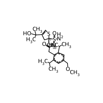 COCc1cc(C(C)C)c(CC(=O)N=S(N)(=O)[C@]2(C)CC(C(C)(C)O)=CS2)c(C(C)C)c1